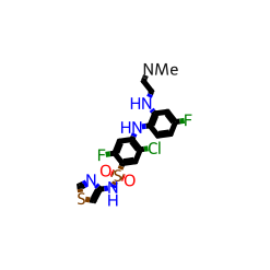 CNCCNc1cc(F)ccc1Nc1cc(F)c(S(=O)(=O)Nc2cscn2)cc1Cl